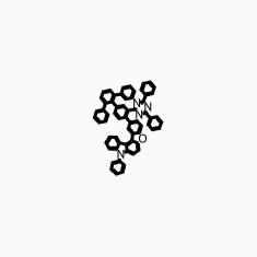 c1ccc(-c2nc(-c3ccccc3)nc(-c3cc(-c4c(-c5ccccc5)cccc4-c4ccccc4)ccc3-c3ccc4oc5ccc6c(c7ccccc7n6-c6ccccc6)c5c4c3)n2)cc1